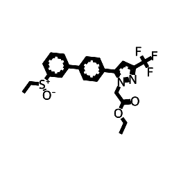 CCOC(=O)Cn1nc(C(F)(F)F)cc1-c1ccc(-c2cccc([S+]([O-])CC)c2)cc1